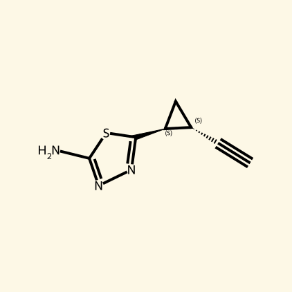 C#C[C@H]1C[C@@H]1c1nnc(N)s1